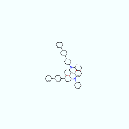 C1=CCC(C2CCC(C3CCC(N(C4=CCCCC4)C4CCCCC4C4CCCC=C4N(C4CCCCC4)[C@H]4C=CC(C5=CCC(C6C=CCCC6)CC5)CC4)CC3)CC2)C=C1